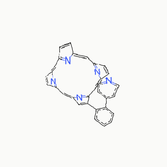 C1=CC2=NC1=CC1=NC(=CC3=NC(=CC4=NC(=C2)C=C4)C=C3c2ccccc2-c2ccncc2)C=C1